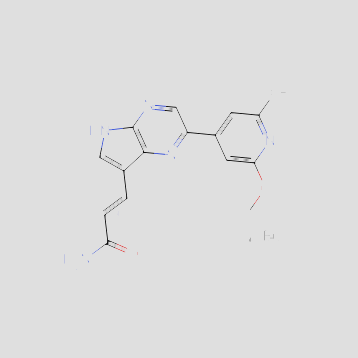 CC[C@@H](C)COc1cc(-c2cnc3[nH]cc(/C=C/C(N)=O)c3n2)cc(C(F)(F)F)n1